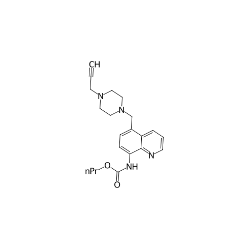 C#CCN1CCN(Cc2ccc(NC(=O)OCCC)c3ncccc23)CC1